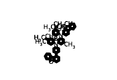 Cc1cc2c3c(c1)N(c1ccc4c(c1)C(C)(C)c1ccccc1-4)c1cc(C(C)(C)C)ccc1B3c1cc(C(C)(C)C)ccc1N2c1ccc(-c2cccc3oc4ccccc4c23)cc1